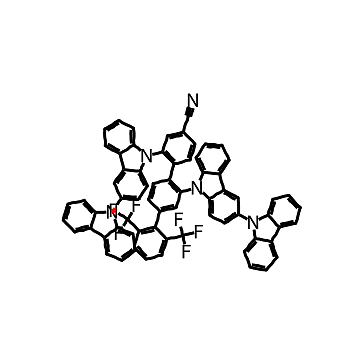 N#Cc1ccc(-c2ccc(-c3c(C(F)(F)F)cccc3C(F)(F)F)cc2-n2c3ccccc3c3cc(-n4c5ccccc5c5ccccc54)ccc32)c(-n2c3ccccc3c3cc(-n4c5ccccc5c5ccccc54)ccc32)c1